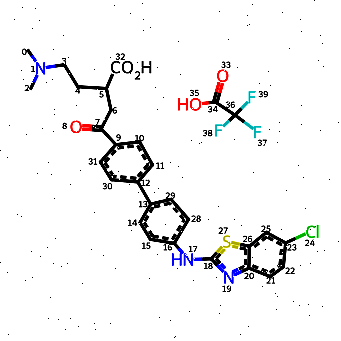 CN(C)CCC(CC(=O)c1ccc(-c2ccc(Nc3nc4ccc(Cl)cc4s3)cc2)cc1)C(=O)O.O=C(O)C(F)(F)F